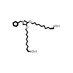 CCCCCCCC/C=C\CCCCCCCCOC1CN(Cc2ccccc2)CC1OCCCCCCCC/C=C\CCCCCCCC